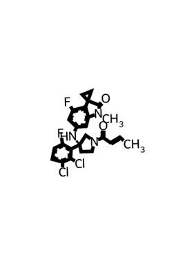 C/C=C/C(=O)N1CC[C@](Nc2cc(F)c3c(c2)N(C)C(=O)C32CC2)(c2c(F)ccc(Cl)c2Cl)C1